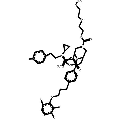 Cc1ccc(CCN(C(=O)C2=C(c3ccc(CCCOc4c(F)ccc(F)c4F)cc3)CC3CN(C(=O)OCCOCCO[N+](=O)[O-])CC2N3C(=O)OC(C)(C)C(Cl)(Cl)Cl)C2CC2)cc1